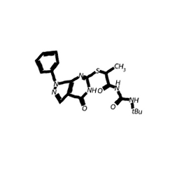 CC(Sc1nc2c(cnn2-c2ccccc2)c(=O)[nH]1)C(=O)NC(=O)NC(C)(C)C